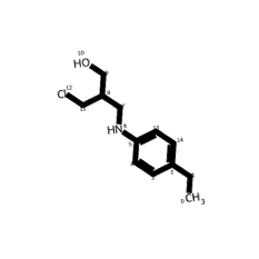 CCc1ccc(NCC(CO)CCl)cc1